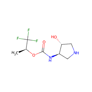 C[C@H](OC(=O)N[C@@H]1CNC[C@H]1O)C(F)(F)F